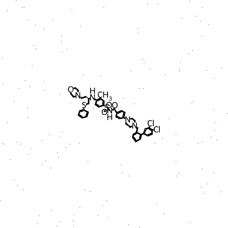 Cc1cc(S(=O)(=O)NC(=O)c2ccc(N3CCN(Cc4ccccc4-c4ccc(Cl)c(Cl)c4)CC3)cc2)ccc1N[C@H](CCN1CCOCC1)CSc1ccccc1